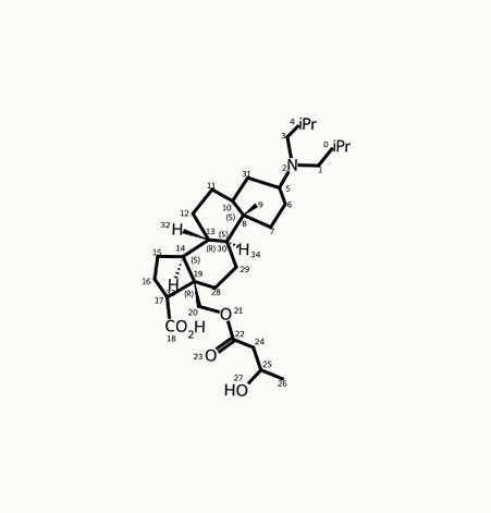 CC(C)CN(CC(C)C)C1CC[C@@]2(C)C(CC[C@H]3[C@@H]4CCC(C(=O)O)[C@@]4(COC(=O)CC(C)O)CC[C@@H]32)C1